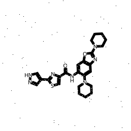 O=C(Nc1cc2oc(N3CCCCC3)nc2cc1N1CCCCC1)c1csc(-c2cn[nH]c2)n1